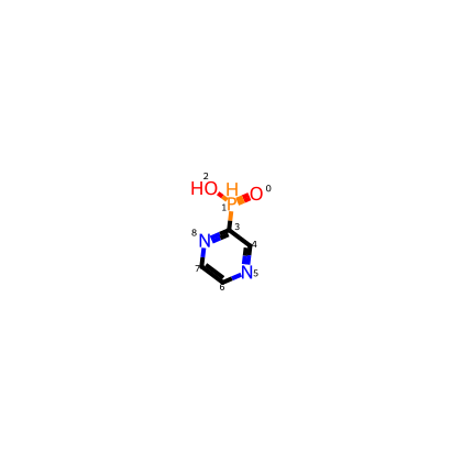 O=[PH](O)c1cnccn1